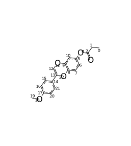 CCC(=O)Oc1ccc2c(c1)OC=C(c1ccc(OC)cc1)O2